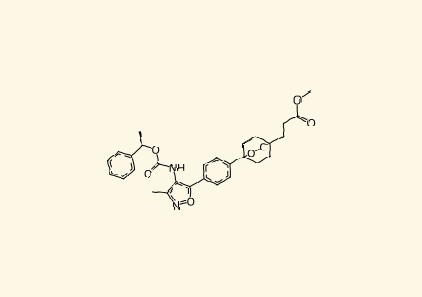 COC(=O)CCC12CCC(c3ccc(-c4onc(C)c4NC(=O)O[C@H](C)c4ccccc4)cc3)(CC1)OC2